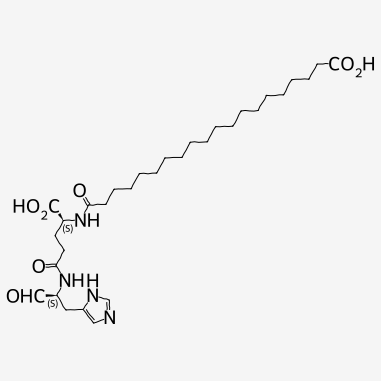 O=C[C@H](Cc1cnc[nH]1)NC(=O)CC[C@H](NC(=O)CCCCCCCCCCCCCCCCCCC(=O)O)C(=O)O